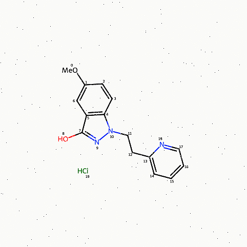 COc1ccc2c(c1)c(O)nn2CCc1ccccn1.Cl